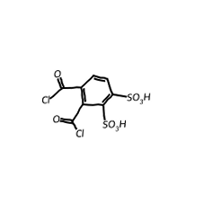 O=C(Cl)c1ccc(S(=O)(=O)O)c(S(=O)(=O)O)c1C(=O)Cl